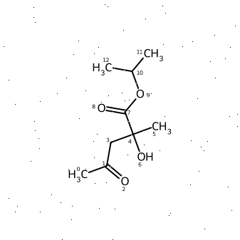 CC(=O)CC(C)(O)C(=O)OC(C)C